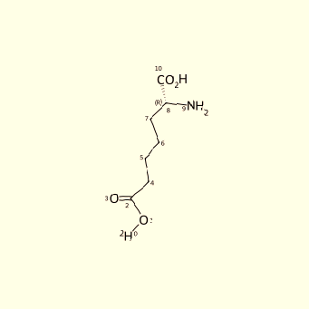 [2H]OC(=O)CCCC[C@@H](N)C(=O)O